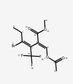 CC/C(Br)=C(\C(=C/OC(C)=O)C(=O)OC)C(F)(F)F